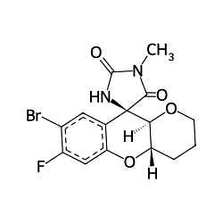 CN1C(=O)N[C@]2(C1=O)c1cc(Br)c(F)cc1O[C@H]1CCCO[C@@H]12